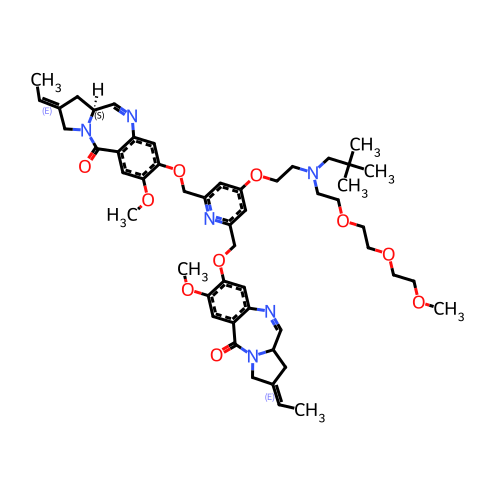 C/C=C1\CC2C=Nc3cc(OCc4cc(OCCN(CCOCCOCCOC)CC(C)(C)C)cc(COc5cc6c(cc5OC)C(=O)N5C/C(=C/C)C[C@H]5C=N6)n4)c(OC)cc3C(=O)N2C1